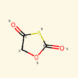 O=C1COC(=O)S1